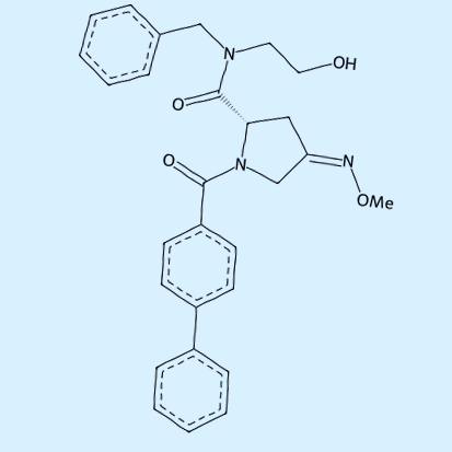 CON=C1C[C@@H](C(=O)N(CCO)Cc2ccccc2)N(C(=O)c2ccc(-c3ccccc3)cc2)C1